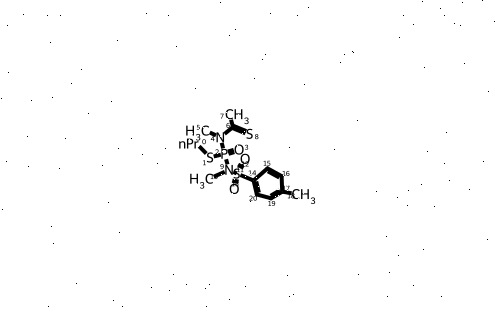 CCCSP(=O)(N(C)C(C)=S)N(C)S(=O)(=O)c1ccc(C)cc1